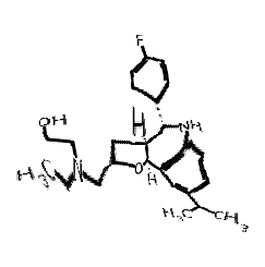 CCN(CCO)C[C@H]1CC[C@@H]2[C@H](O1)c1cc(C(C)C)ccc1N[C@H]2C1C=CC(F)=CC1